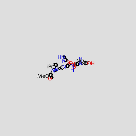 COc1cc(CN2CCN(C3CC4(CCN(c5ccc(C(=O)NS(=O)(=O)c6ccc(NCC7CCC(C)(O)CC7)c([N+](=O)[O-])c6)c(Oc6cnc7[nH]ccc7c6)c5)CC4)C3)[C@H](c3ccccc3C(C)C)C2)cc2ccoc12